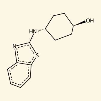 O[C@H]1CC[C@H](Nc2nc3ccccc3s2)CC1